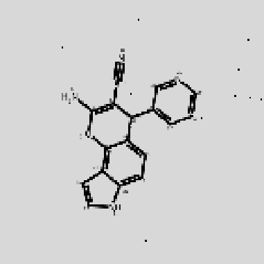 N#CC1=C(N)Oc2c(ccc3[nH]ccc23)C1c1cccnc1